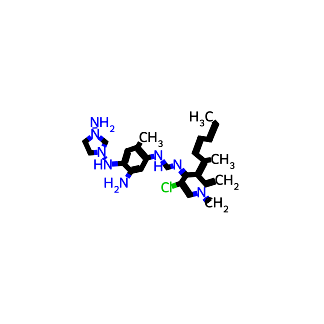 C=CC(=C(C)/C=C\C=C/C)C(=N/CNc1cc(N)c(NN2CCN(N)C2)cc1C)/C(Cl)=C\N=C